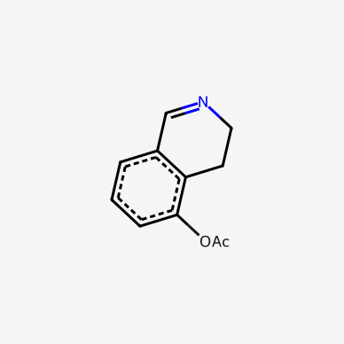 CC(=O)Oc1cccc2c1CCN=C2